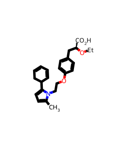 CCO[C@@H](Cc1ccc(OCCn2c(C)ccc2C2C=CC=CC2)cc1)C(=O)O